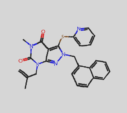 C=C(C)Cn1c(=O)n(C)c(=O)c2c(Sc3ccccn3)n(Cc3cccc4ccccc34)nc21